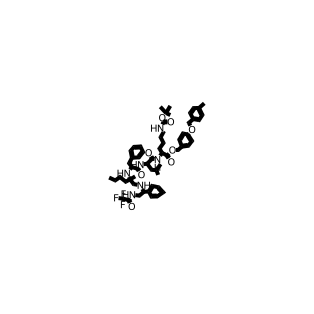 CCCCC(C)(CNC(CNC(=O)C(F)(F)F)c1ccccc1)NC(Cc1ccccc1)C(=O)NC(CC(C)C)C(=O)NC(CCCCNC(=O)OC(C)(C)C)C(=O)OCc1ccc(OCc2ccc(C)cc2)cc1